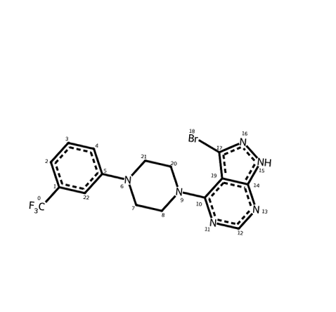 FC(F)(F)c1cccc(N2CCN(c3ncnc4[nH]nc(Br)c34)CC2)c1